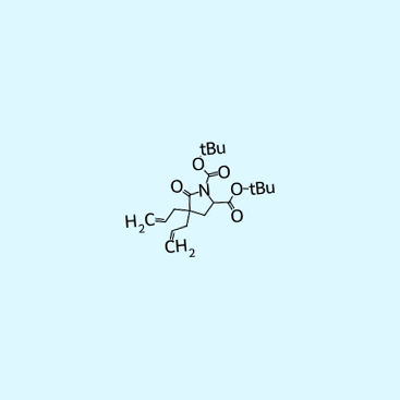 C=CCC1(CC=C)CC(C(=O)OC(C)(C)C)N(C(=O)OC(C)(C)C)C1=O